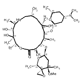 CC[C@H]1OC(=O)[C@H](C)[C@@H](O[C@H]2C[C@@](C)(OC)[C@]3(CO3)[C@H](C)O2)[C@H](C)[C@@H](O[C@H]2C[C@@H](N(C)C)C[C@@H](C)O2)[C@](C)(O)C[C@@H](C)CN[C@H](C)[C@@H](O)[C@]1(C)O